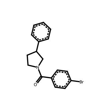 O=C(c1ccc(Br)cc1)N1CCC(c2ccccc2)C1